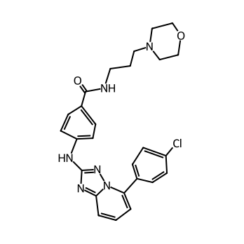 O=C(NCCCN1CCOCC1)c1ccc(Nc2nc3cccc(-c4ccc(Cl)cc4)n3n2)cc1